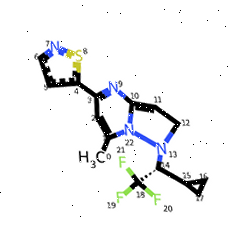 CC1=CC(c2ccns2)=NC2=CCN([C@H](C3CC3)C(F)(F)F)N12